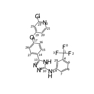 FC(F)(F)c1cccc(Nc2nnc(-c3ccc(Oc4ccnc(Cl)c4)cc3)[nH]2)c1